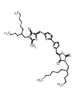 C=c1s/c(=C\c2ccc(-c3ccc(/C=C4\SC(=S)N(CC(CCCC)CCCCCC)C4=O)s3)s2)c(=O)n1CC(CCCC)CCCCCC